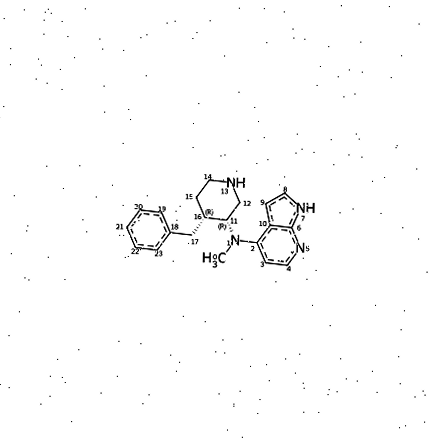 CN(c1ccnc2[nH]ccc12)[C@H]1CNCC[C@H]1Cc1ccccc1